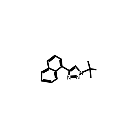 CC(C)(C)n1cc(-c2cccc3ccccc23)nn1